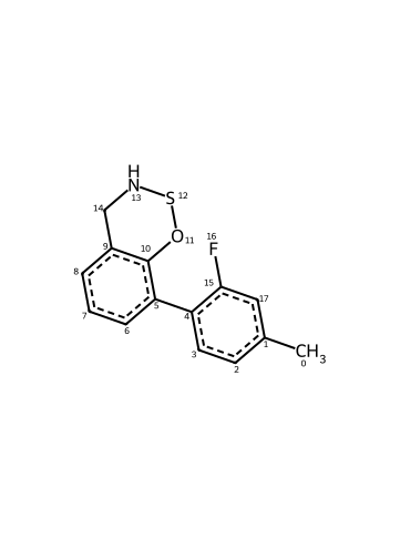 Cc1ccc(-c2cccc3c2OSNC3)c(F)c1